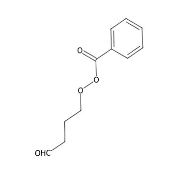 O=CCCCOOC(=O)c1ccccc1